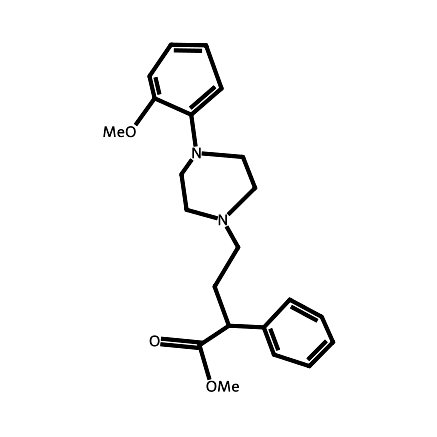 COC(=O)C(CCN1CCN(c2ccccc2OC)CC1)c1ccccc1